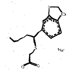 CCCC(SCC(=O)[O-])c1ccc2c(c1)OCO2.[Na+]